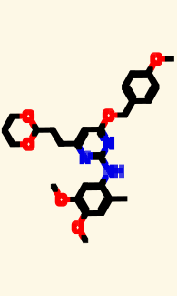 COc1ccc(COc2cc(CCC3OCCCO3)nc(Nc3cc(OC)c(OC)cc3C)n2)cc1